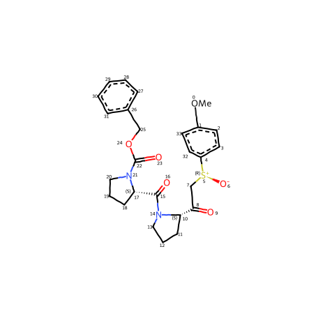 COc1ccc([S@@+]([O-])CC(=O)[C@@H]2CCCN2C(=O)[C@@H]2CCCN2C(=O)OCc2ccccc2)cc1